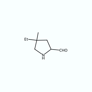 CCC1(C)CNC(C=O)C1